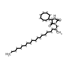 CCCCCCCCCCCCCCCCCCN(C)CN1C(=O)NC(C2CCCCCCC2)C1=O